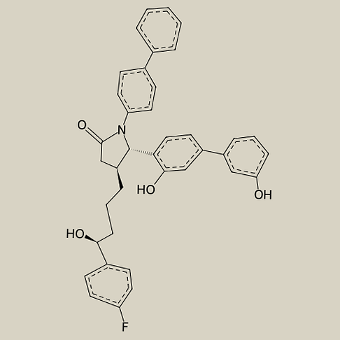 O=C1C[C@H](CCC[C@H](O)c2ccc(F)cc2)[C@@H](c2ccc(-c3cccc(O)c3)cc2O)N1c1ccc(-c2ccccc2)cc1